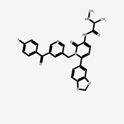 CNC(C)C(=O)Nc1ccc(-c2ccc3c(c2)OCO3)n(Cc2cncc(C(=O)c3ccc(F)cc3)c2)c1=O